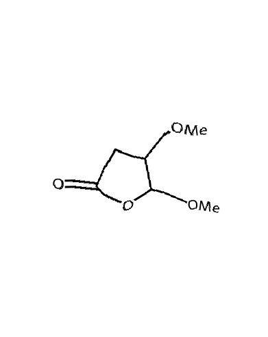 COC1CC(=O)OC1OC